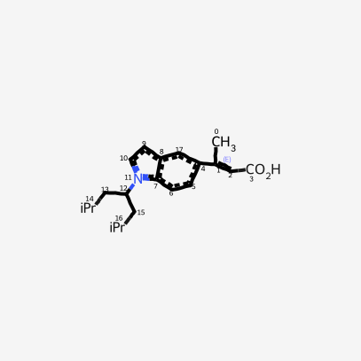 C/C(=C\C(=O)O)c1ccc2c(ccn2C(CC(C)C)CC(C)C)c1